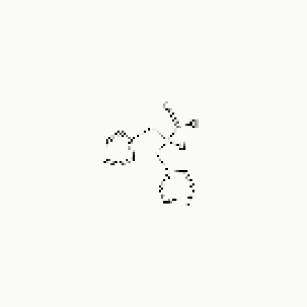 [Li][C](Cc1ccccc1)(Cc1ccccc1)C(=O)O